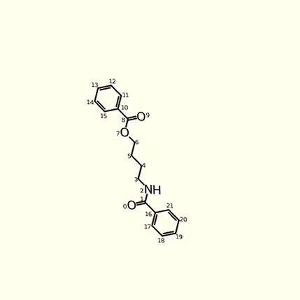 O=C(NCCCCOC(=O)c1ccccc1)c1ccccc1